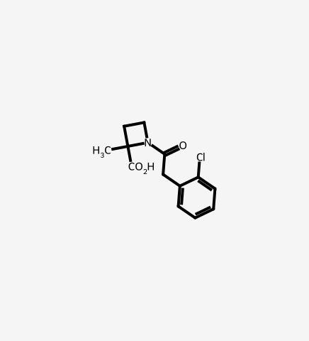 CC1(C(=O)O)CCN1C(=O)Cc1ccccc1Cl